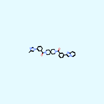 Cc1cn(C2=CC(C(=O)N3CCC4(CCN(C(=O)c5cccc(-c6cn7ccccc7n6)c5)CC4)CC3)CC=C2)cn1